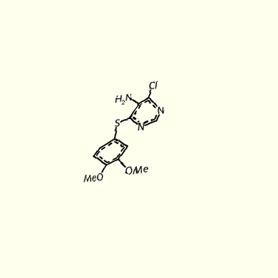 COc1ccc(Sc2ncnc(Cl)c2N)cc1OC